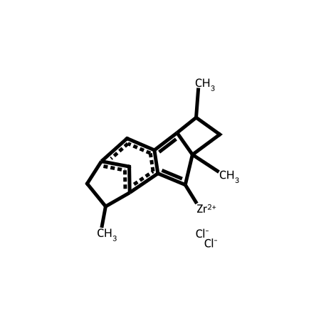 CC1CC2(C)C1=c1cc3cc(c1=[C]2[Zr+2])C(C)C3.[Cl-].[Cl-]